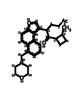 CC(=O)CCC(C(=O)C1CCC1C)c1coc2ccc3c(CN4CCOCC4)cccc3c12